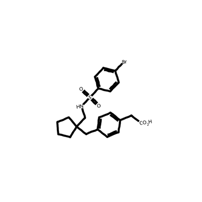 O=C(O)Cc1ccc(CC2(CNS(=O)(=O)c3ccc(Br)cc3)CCCC2)cc1